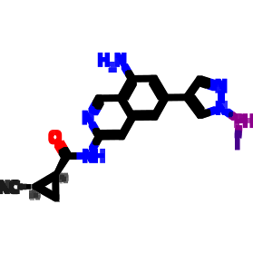 N#C[C@H]1C[C@@H]1C(=O)Nc1cc2cc(-c3cnn(PI)c3)cc(N)c2cn1